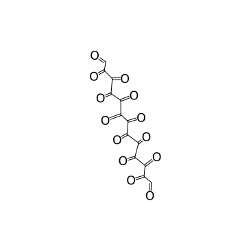 O=CC(=O)C(=O)C(=O)C(=O)C(=O)C(=O)C(=O)C(=O)C(=O)C(=O)C(=O)C=O